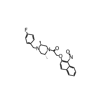 C[C@@H]1CN(Cc2ccc(F)cc2)[C@@H](C)CN1C(=O)COc1ccc2ccccc2c1N=O